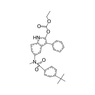 CCOC(=O)Oc1[nH]c2ccc(N(C)S(=O)(=O)c3ccc(C(C)(C)C)cc3)cc2c1-c1ccccc1